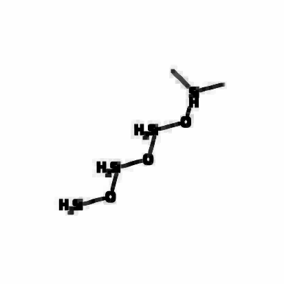 C[SiH](C)O[SiH2]O[SiH2]O[SiH3]